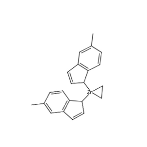 Cc1ccc2c(c1)C=C[CH]2[Zr]1([CH]2C=Cc3cc(C)ccc32)[CH2][CH2]1